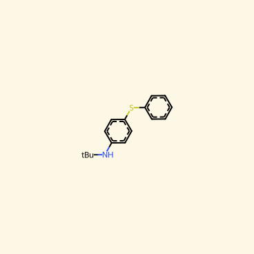 CC(C)(C)Nc1ccc(Sc2ccccc2)cc1